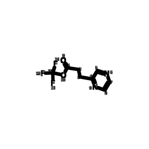 O=C(CCc1cnccn1)OC(F)(F)F